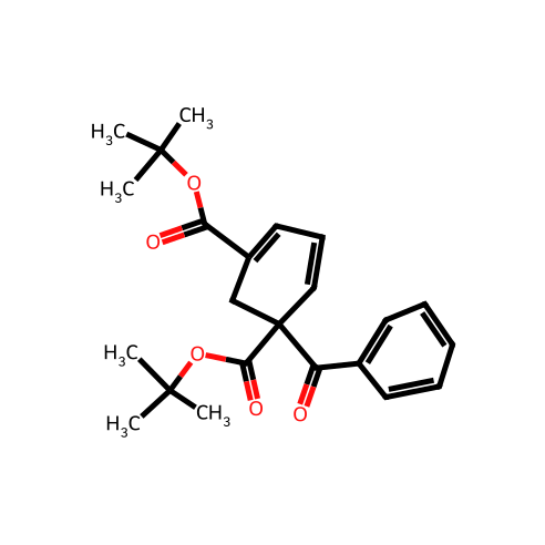 CC(C)(C)OC(=O)C1=CC=CC(C(=O)OC(C)(C)C)(C(=O)c2ccccc2)C1